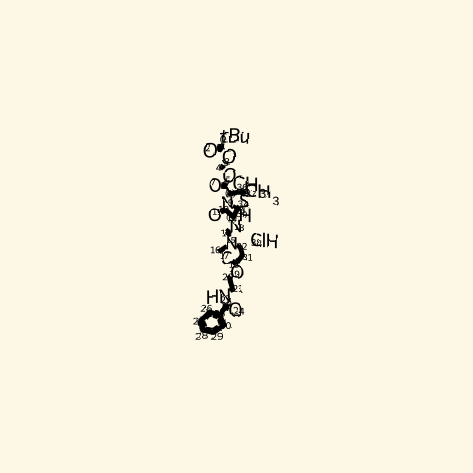 CC(C)(C)C(=O)OCOC(=O)[C@@H]1N2C(=O)[C@@H](N=CN3CCC(OCCNC(=O)c4ccccc4)CC3)[C@H]2SC1(C)C.Cl